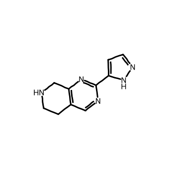 c1cc(-c2ncc3c(n2)CNCC3)[nH]n1